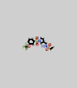 C=CS(=O)(=O)NCC1CCN(S(=O)(=O)c2cccc(OC(F)(F)F)c2)C1